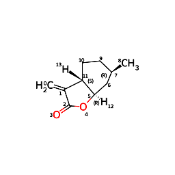 C=C1C(=O)O[C@@H]2C[C@H](C)CC[C@@H]12